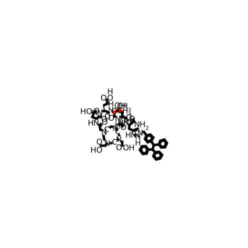 CC(C)[C@H](NC(=O)[C@H](CCC(=O)O)NC(=O)C(CC(=O)O)NC(=O)CN1CCN(CC(=O)O)CCN(CC(=O)O)CCN(CC(=O)O)CC1)C(=O)NC(CC(=O)O)C(=O)NC(CC1=CN(Cc2ccc(C(c3ccccc3)C(c3ccccc3)c3ccccc3)cc2)NN1)C(N)=O